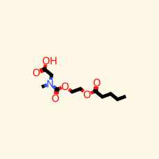 CCCCC(=O)OCCOC(=O)N(C)CC(=O)O